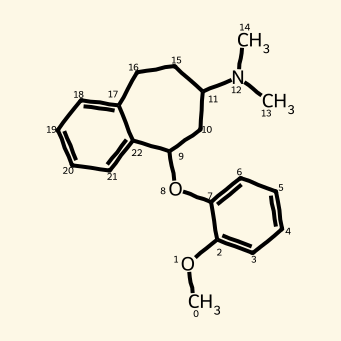 COc1ccccc1OC1CC(N(C)C)CCc2ccccc21